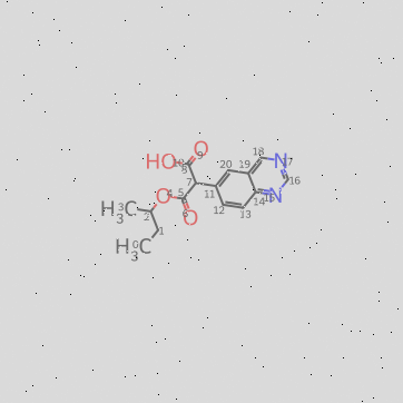 CCC(C)OC(=O)C(C(=O)O)c1ccc2ncncc2c1